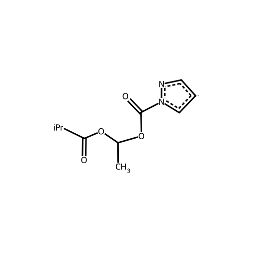 CC(OC(=O)C(C)C)OC(=O)n1c[c]cn1